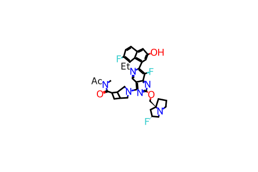 CCc1c(F)ccc2cc(O)cc(-c3ncc4c(N5CC6CC(C(=O)N(C)C(C)=O)C6C5)nc(OC[C@@]56CCCN5C[C@H](F)C6)nc4c3F)c12